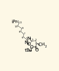 C=C(Cc1nc(CCCCCCC(C)C)no1)C(=O)OC(C)(C)C